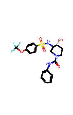 O=C(Nc1ccccc1)N1CC[C@@H](O)C(NS(=O)(=O)c2ccc(OC(F)(F)F)cc2)C1